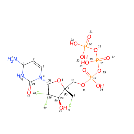 NC1C=CN([C@@H]2O[C@](CF)(COP(=O)(O)OP(=O)(O)OP(=O)(O)O)[C@@H](O)C2(F)F)C(=O)N1